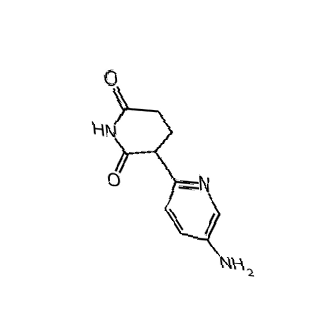 Nc1ccc(C2CCC(=O)NC2=O)nc1